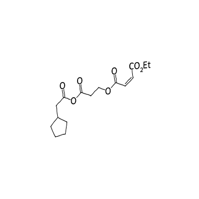 CCOC(=O)/C=C\C(=O)OCCC(=O)OC(=O)CC1CCCC1